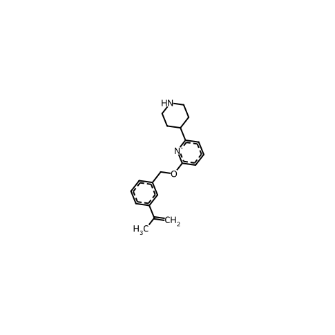 C=C(C)c1cccc(COc2cccc(C3CCNCC3)n2)c1